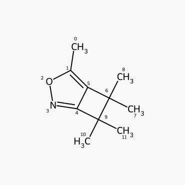 Cc1onc2c1C(C)(C)C2(C)C